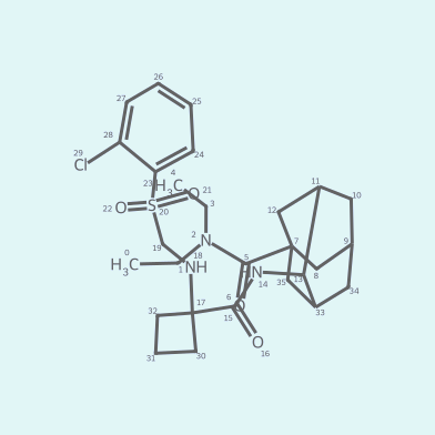 CCN(CC)C(=O)C12CC3CC(C1)C(NC(=O)C1(NCS(=O)(=O)c4ccccc4Cl)CCC1)C(C3)C2